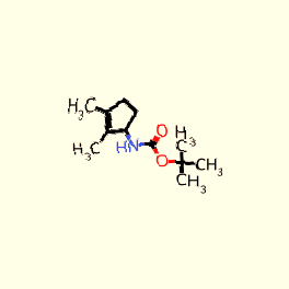 CC1=C(C)C(NC(=O)OC(C)(C)C)CC1